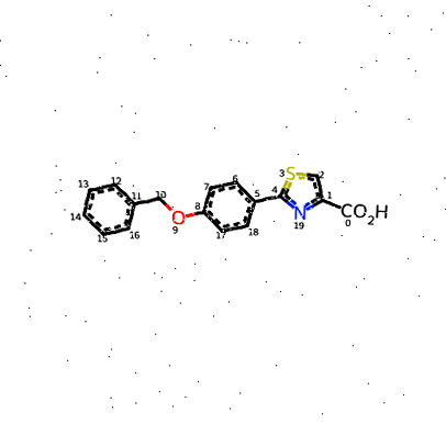 O=C(O)c1csc(-c2ccc(OCc3ccccc3)cc2)n1